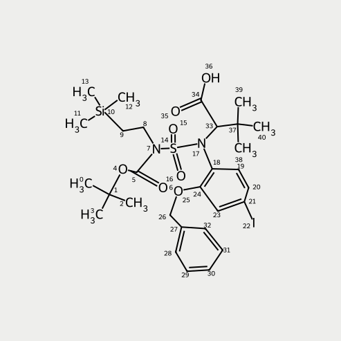 CC(C)(C)OC(=O)N(CC[Si](C)(C)C)S(=O)(=O)N(c1ccc(I)cc1OCc1ccccc1)C(C(=O)O)C(C)(C)C